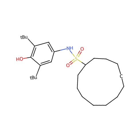 CC(C)(C)c1cc(NS(=O)(=O)C2CCCCCCCCCCC2)cc(C(C)(C)C)c1O